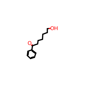 O=C(CCCCCCO)c1ccccc1